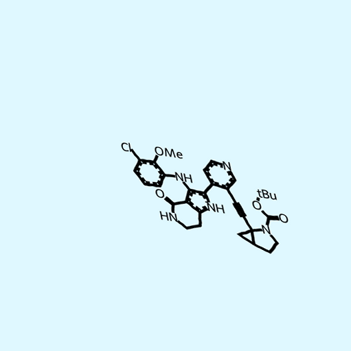 COc1c(Cl)cccc1Nc1c(-c2ccncc2C#CC23CC2CCN3C(=O)OC(C)(C)C)[nH]c2c1C(=O)NCC2